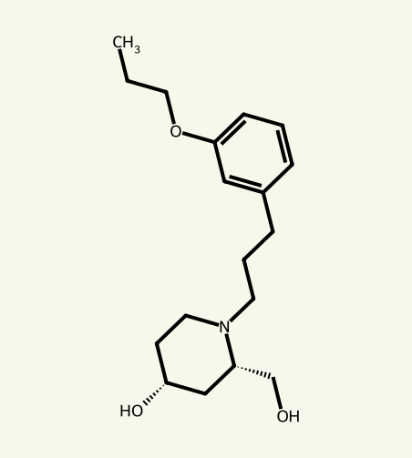 CCCOc1cccc(CCCN2CC[C@@H](O)C[C@H]2CO)c1